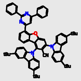 CC(C)(C)c1ccc2c(c1)c1cc(C(C)(C)C)ccc1n2-c1cc2oc3c(-c4cc(-c5ccccc5)nc(-c5ccccc5)n4)cccc3c2c(-n2c3ccc(C(C)(C)C)cc3c3cc(C(C)(C)C)ccc32)c1C#N